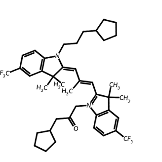 CC(=C\C1=[N+](CC(=O)CC2CCCC2)c2ccc(C(F)(F)F)cc2C1(C)C)/C=C1/N(CCCC2CCCC2)c2ccc(C(F)(F)F)cc2C1(C)C